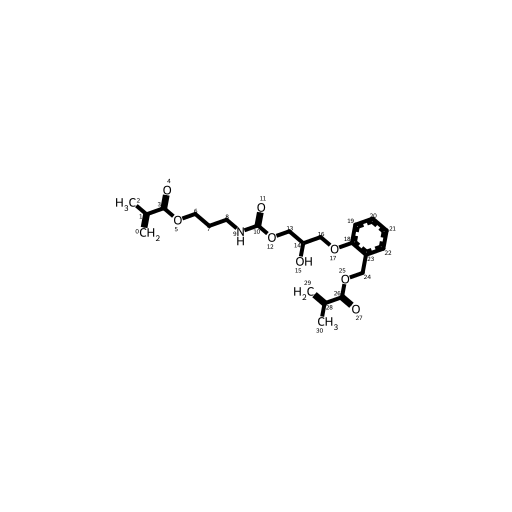 C=C(C)C(=O)OCCCNC(=O)OCC(O)COc1ccccc1COC(=O)C(=C)C